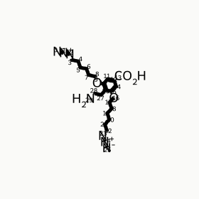 [N-]=[N+]=NCCCCCCOc1cc(C(=O)O)cc(OCCCCCCN=[N+]=[N-])c1CCN